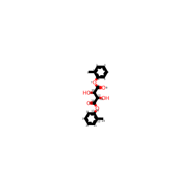 Cc1ccccc1OC(=O)C(O)C(O)C(=O)Oc1ccccc1C